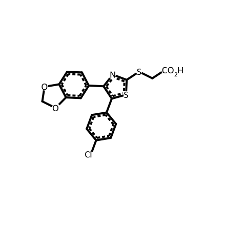 O=C(O)CSc1nc(-c2ccc3c(c2)OCO3)c(-c2ccc(Cl)cc2)s1